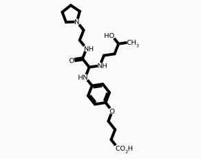 CC(O)CCNC(Nc1ccc(OCCCC(=O)O)cc1)C(=O)NCCN1CCCC1